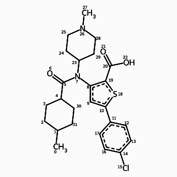 CC1CCC(C(=O)N(c2cc(-c3ccc(Cl)cc3)sc2C(=O)O)C2CCN(C)CC2)CC1